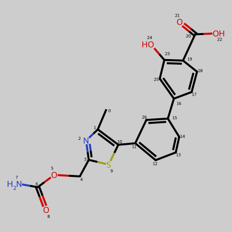 Cc1nc(COC(N)=O)sc1-c1cccc(-c2ccc(C(=O)O)c(O)c2)c1